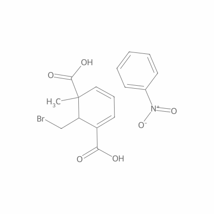 CC1(C(=O)O)C=CC=C(C(=O)O)C1CBr.O=[N+]([O-])c1ccccc1